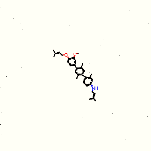 COc1cc(-c2cc(C)c(-c3ccc(NCC=C(C)C)cc3C)cc2C)ccc1OCC=C(C)C